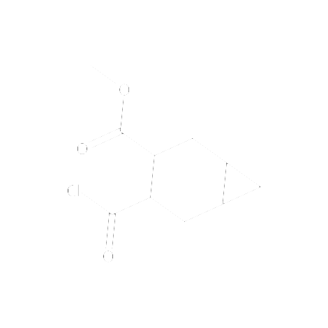 COC(=O)C1CC2CC2CC1C(=O)Cl